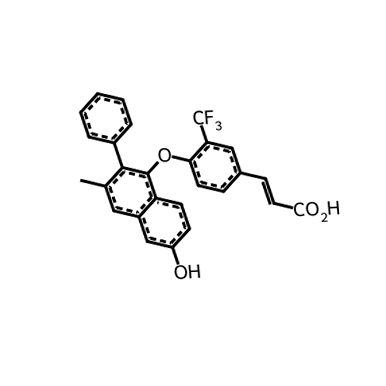 Cc1cc2cc(O)ccc2c(Oc2ccc(C=CC(=O)O)cc2C(F)(F)F)c1-c1ccccc1